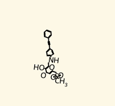 CS(=O)(=O)Cc1cc(=O)c(O)c(CNc2ccc(C#Cc3ccccc3)cc2)o1